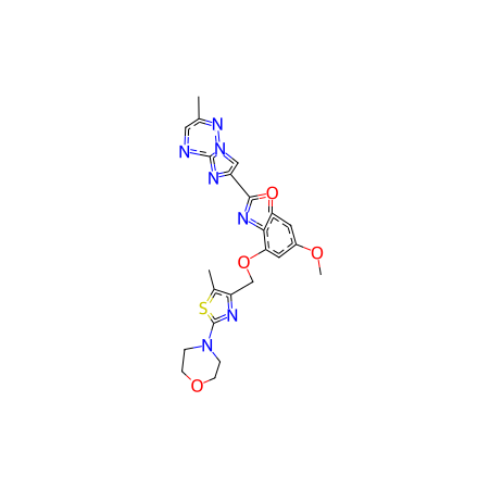 COc1cc(OCc2nc(N3CCOCC3)sc2C)c2nc(-c3cn4nc(C)cnc4n3)oc2c1